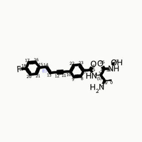 C[C@@H](N)[C@H](NC(=O)c1ccc(C#C/C=C/c2ccc(F)cc2)cc1)C(=O)NO